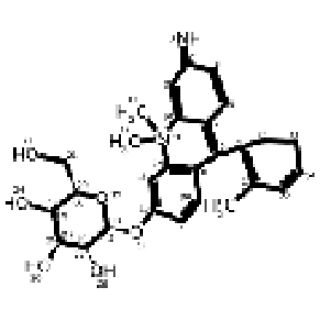 CC1=C(C2=C3C=CC(=N)C=C3[Si](C)(C)c3cc(O[C@@H]4O[C@H](CO)[C@H](O)[C@H](O)[C@H]4O)ccc32)CCC=C1